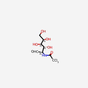 O=C[C@H](NC(=O)C(Cl)(Cl)Cl)[C@@H](O)[C@@H](O)[C@H](O)CO